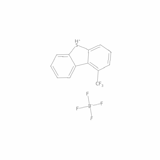 FC(F)(F)c1cccc2[sH+]c3ccccc3c12.F[B-](F)(F)F